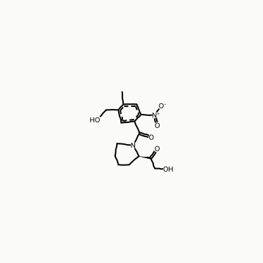 Cc1cc([N+](=O)[O-])c(C(=O)N2CCCC[C@@H]2C(=O)CO)cc1CO